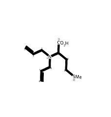 C=CCN(CC=C)C(CCSC)C(=O)O